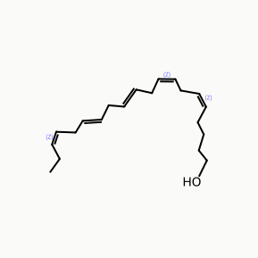 CC/C=C\CC=CCC=CC/C=C\C/C=C\CCCCO